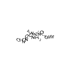 COCCC(=O)N1CCN(c2nc(C3CC3)c(Oc3cc(Cl)ncn3)cc2N)C[C@H]1C